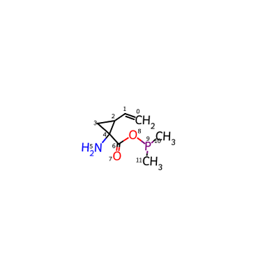 C=CC1CC1(N)C(=O)OP(C)C